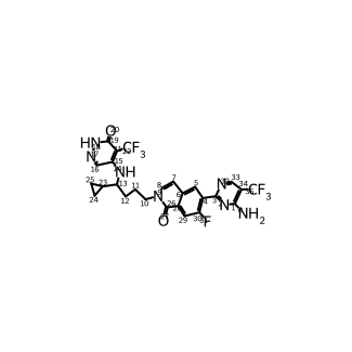 Nc1nc(-c2cc3ccn(CCCC(Nc4cn[nH]c(=O)c4C(F)(F)F)C4CC4)c(=O)c3cc2F)ncc1C(F)(F)F